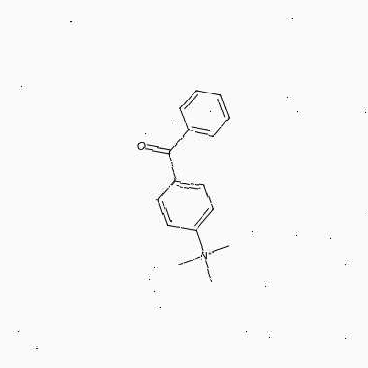 C[N+](C)(C)c1ccc(C(=O)c2ccccc2)cc1